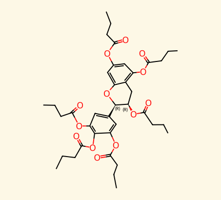 CCCC(=O)Oc1cc(OC(=O)CCC)c2c(c1)O[C@H](c1cc(OC(=O)CCC)c(OC(=O)CCC)c(OC(=O)CCC)c1)[C@H](OC(=O)CCC)C2